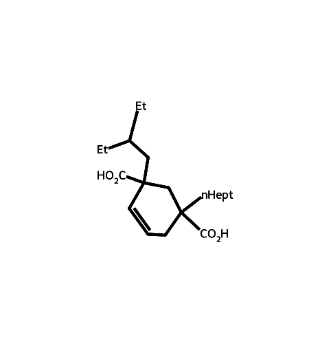 CCCCCCCC1(C(=O)O)CC=CC(CC(CC)CC)(C(=O)O)C1